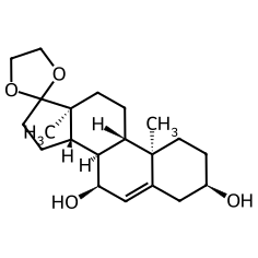 C[C@]12CC[C@@H](O)CC1=C[C@@H](O)[C@@H]1[C@@H]2CC[C@@]2(C)[C@H]1CCC21OCCO1